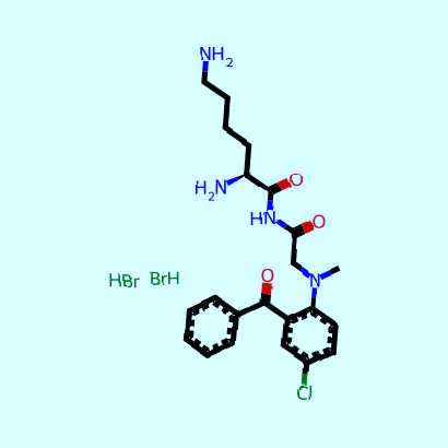 Br.Br.CN(CC(=O)NC(=O)[C@@H](N)CCCCN)c1ccc(Cl)cc1C(=O)c1ccccc1